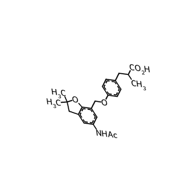 CC(=O)Nc1cc(COc2ccc(CC(C)C(=O)O)cc2)c2c(c1)CC(C)(C)O2